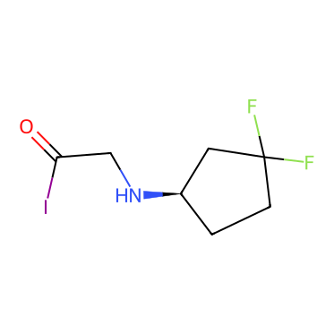 O=C(I)CN[C@@H]1CCC(F)(F)C1